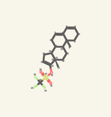 CC12CCC=CC1=CCC1C2CC[C@]2(C)C(OS(=O)(=O)C(F)(F)F)=CCC12